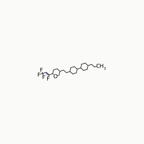 CCCC1CCC(C2CCC(CCC3CCC(/C(F)=C/C(F)(F)F)OC3)CC2)CC1